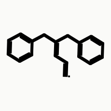 [CH]=CC=C(Cc1ccccc1)Cc1ccccc1